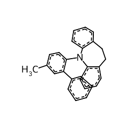 Cc1ccc(N2c3ccccc3CCc3ccccc32)c(-c2ccccc2)c1